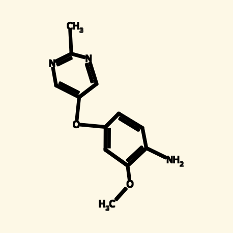 COc1cc(Oc2cnc(C)nc2)ccc1N